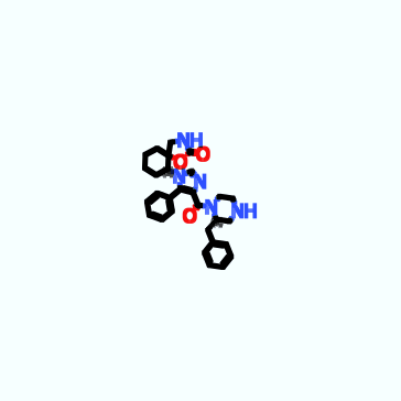 O=C1NCC2(CCCC[C@@H]2n2cnc(C(=O)N3CCNC[C@H]3Cc3ccccc3)c2-c2ccccc2)O1